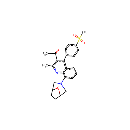 Cc1nc2c(N3CC4CCC(C3)O4)cccc2c(-c2ccc(S(C)(=O)=O)cc2)c1C(=O)C(F)(F)F